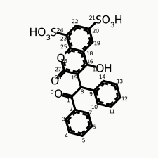 O=C(c1ccccc1)C(c1ccccc1)c1c(O)c2cc(S(=O)(=O)O)cc(S(=O)(=O)O)c2oc1=O